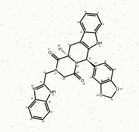 O=C1[C@H]2Cc3c([nH]c4ccccc34)[C@@H](c3ccc4c(c3)OCO4)N2C(=O)CN1Cc1nc2ccccc2[nH]1